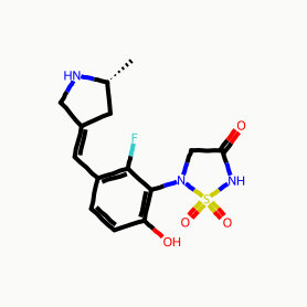 C[C@@H]1C/C(=C\c2ccc(O)c(N3CC(=O)NS3(=O)=O)c2F)CN1